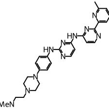 CNCCN1CCN(c2ccc(Nc3nccc(Nc4ccnc(-c5cccc(C)n5)n4)n3)cc2)CC1